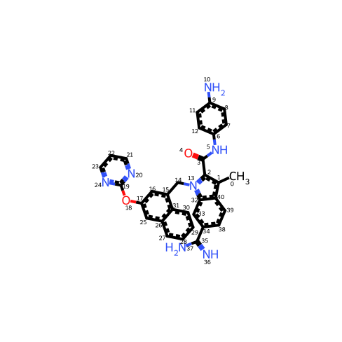 Cc1c(C(=O)Nc2ccc(N)cc2)n(Cc2cc(Oc3ncccn3)cc3ccccc23)c2cc(C(=N)N)ccc12